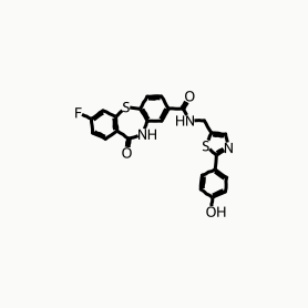 O=C(NCc1cnc(-c2ccc(O)cc2)s1)c1ccc2c(c1)NC(=O)c1ccc(F)cc1S2